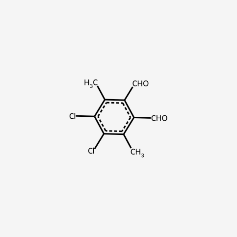 Cc1c(Cl)c(Cl)c(C)c(C=O)c1C=O